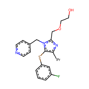 CC(C)c1nc(COCCO)n(Cc2ccncc2)c1Sc1cccc(F)c1